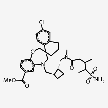 COC(=O)c1ccc2c(c1)N(C[C@@H]1CC[C@H]1CN(C)C(=O)CC(C)C(C)S(N)(=O)=O)C[C@@]1(CCCc3cc(Cl)ccc31)CO2